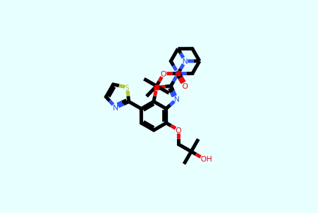 CC(C)(O)COc1ccc(-c2nccs2)c2oc(N3CC4CC(C3)N4C(=O)OC(C)(C)C)nc12